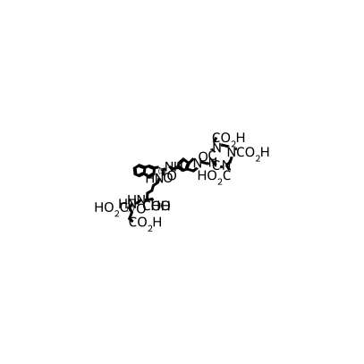 O=CC(CO)(CCCCNC(=O)[C@H](Cc1ccc2ccccc2c1)NC(=O)c1ccc2c(c1)CCN(C(=O)CN1CCN(CC(=O)O)CCN(CC(=O)O)CCN(CC(=O)O)CC1)C2)NC(=O)N[C@@H](CCC(=O)O)C(=O)O